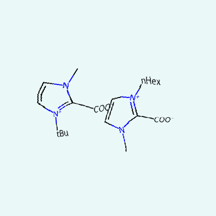 CCCCCC[n+]1ccn(C)c1C(=O)[O-].Cn1cc[n+](C(C)(C)C)c1C(=O)[O-]